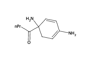 CCCC(=O)C1(N)C=CC(N)=CC1